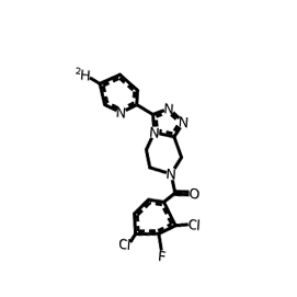 [2H]c1ccc(-c2nnc3n2CCN(C(=O)c2ccc(Cl)c(F)c2Cl)C3)nc1